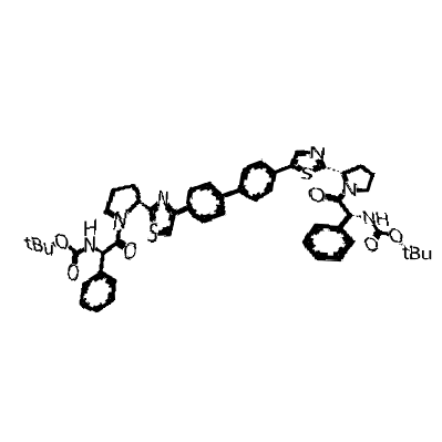 CC(C)(C)OC(=O)N[C@@H](C(=O)N1CCC[C@H]1c1nc(-c2ccc(-c3ccc(-c4cnc([C@@H]5CCCN5C(=O)[C@H](NC(=O)OC(C)(C)C)c5ccccc5)s4)cc3)cc2)cs1)c1ccccc1